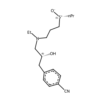 CCC[S@@+]([O-])CCCN(CC)C[C@H](O)Cc1ccc(C#N)cc1